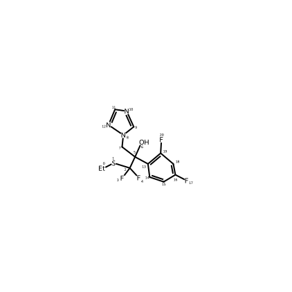 CCSC(F)(F)C(O)(Cn1cncn1)c1ccc(F)cc1F